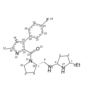 CCC1CCC(NC[C@@H]2CCCN2C(=O)c2nc(C)sc2-c2ccc(F)cc2)N1